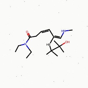 CCN(CC)C(=O)C/C=C\C(BC(C)(C)C(C)(C)O)=C/NC